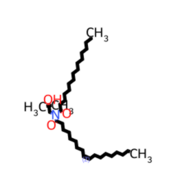 CCCCCCCC/C=C\CCCCCCCC(=O)N(CC(C)(C)O)C(=O)CCCCCCCCCCCCCCC